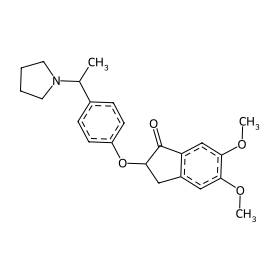 COc1cc2c(cc1OC)C(=O)C(Oc1ccc(C(C)N3CCCC3)cc1)C2